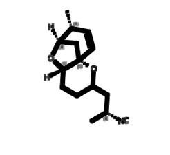 [C-]#[N+][C@H](C)CC1CC[C@@H]2O[C@@H]3C[C@]2(C=C[C@H]3C)O1